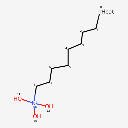 CCCCCCCCCCCCCCC[N+](O)(O)O